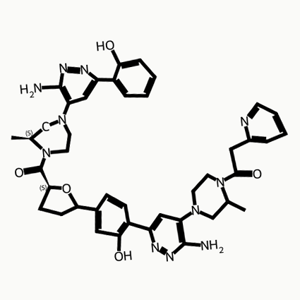 CC1CN(c2cc(-c3ccc(C4CC[C@@H](C(=O)N5CCN(c6cc(-c7ccccc7O)nnc6N)C[C@@H]5C)O4)cc3O)nnc2N)CCN1C(=O)Cc1ccccn1